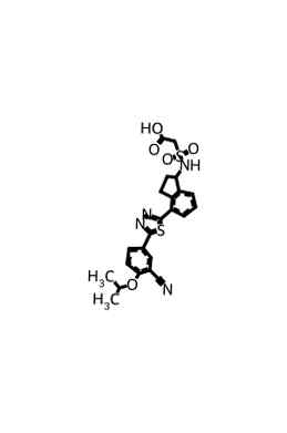 CC(C)Oc1ccc(-c2nnc(-c3cccc4c3CCC4NS(=O)(=O)CC(=O)O)s2)cc1C#N